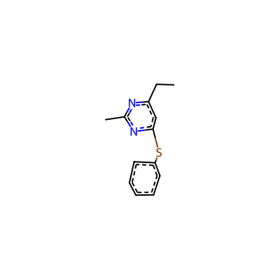 CCc1cc(Sc2ccccc2)nc(C)n1